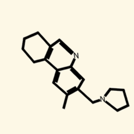 Cc1cc2c3c(cnc2cc1CN1CCCC1)CCCC3